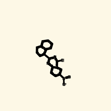 O=[N+]([O-])c1ccc2nc(-c3cccc4ccccc34)nc(Cl)c2c1